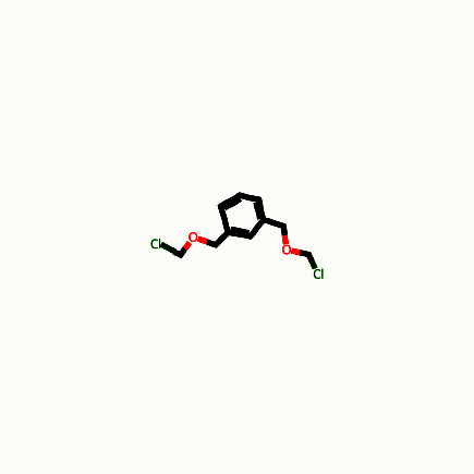 ClCOCc1cccc(COCCl)c1